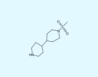 CS(=O)(=O)N1CCC(C2CCNCC2)CC1